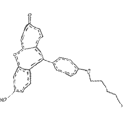 O=c1ccc2c(-c3ccc(OCCCCI)cc3)c3ccc(O)cc3oc-2c1